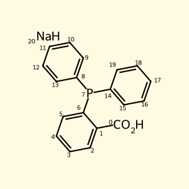 O=C(O)c1ccccc1P(c1ccccc1)c1ccccc1.[NaH]